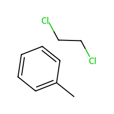 Cc1ccccc1.ClCCCl